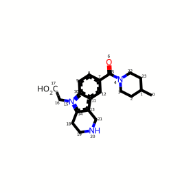 CC1CCN(C(=O)c2ccc3c(c2)c2c(n3CC(=O)O)CCNC2)CC1